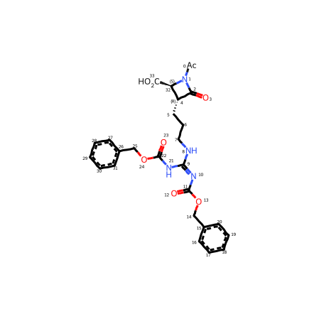 CC(=O)N1C(=O)[C@H](CCCNC(=NC(=O)OCc2ccccc2)NC(=O)OCc2ccccc2)[C@H]1C(=O)O